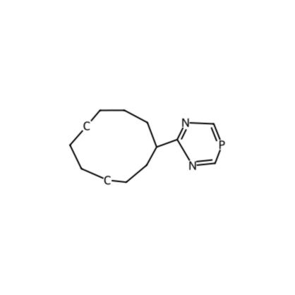 c1nc(C2CCCCCCCCC2)ncp1